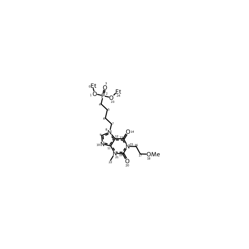 CCOP(=O)(CCCCn1cnc2c1c(=O)n(CCOC)c(=O)n2C)OCC